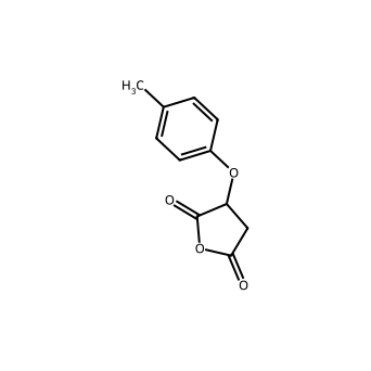 Cc1ccc(OC2CC(=O)OC2=O)cc1